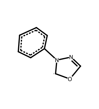 [CH]1OC=NN1c1ccccc1